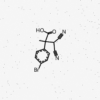 CC(C(=O)O)(c1ccc(Br)cc1)C(C#N)C#N